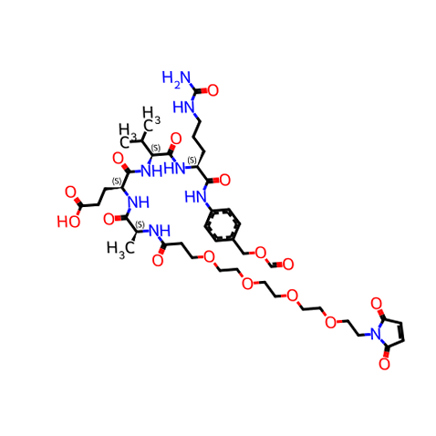 CC(C)[C@H](NC(=O)[C@H](CCC(=O)O)NC(=O)[C@H](C)NC(=O)CCOCCOCCOCCOCCN1C(=O)C=CC1=O)C(=O)N[C@@H](CCCNC(N)=O)C(=O)Nc1ccc(COC=O)cc1